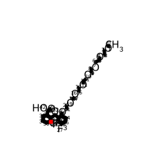 COCCOCCOCCOCCOCCOCCOCCOc1ccc(F)c(F)c1C(=O)c1c(C)cccc1C(=O)O